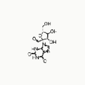 O=C[C@@]1(n2cnc3c(=O)[nH]c(=O)[nH]c32)O[C@H](CO)[C@@H](O)[C@H]1O